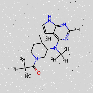 [2H]c1nc(N([C@H]2CN(C(=O)C([2H])([2H])[N+]#[C-])CC[C@@]2([2H])C)C([2H])([2H])[2H])c2cc[nH]c2n1